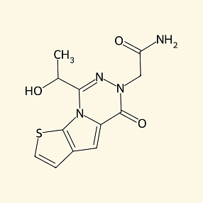 CC(O)c1nn(CC(N)=O)c(=O)c2cc3ccsc3n12